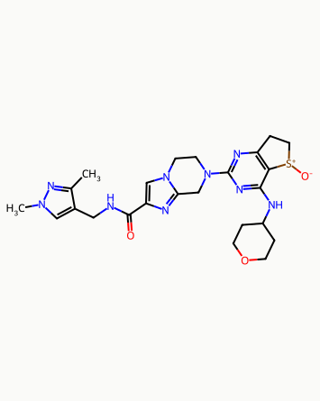 Cc1nn(C)cc1CNC(=O)c1cn2c(n1)CN(c1nc3c(c(NC4CCOCC4)n1)[S+]([O-])CC3)CC2